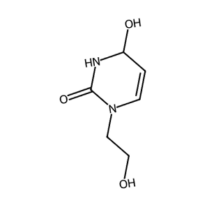 O=C1NC(O)C=CN1CCO